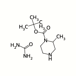 CC1CNCCN1C(=O)OC(C)(C)C.NC(N)=O